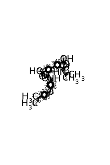 CCC(C)NC(=O)c1cc(-c2ccc(C(=O)O)c(C(=O)Nc3ccc(Oc4ccc(C(C)CC)cc4)cc3)c2)ccc1C(=O)O